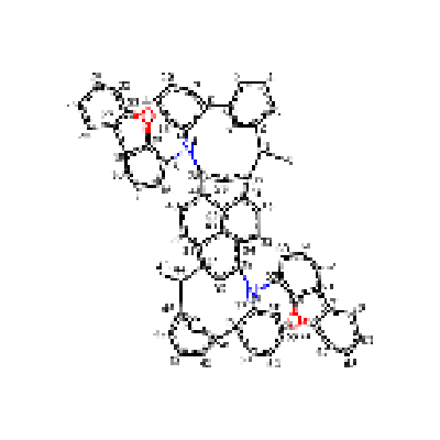 CC1c2cccc(c2)-c2ccccc2N(c2cccc3c2oc2ccccc23)c2cc1c1ccc3c4cc(c5ccc2c1c53)C(C)c1cccc(c1)-c1ccccc1N4c1cccc2c1oc1ccccc12